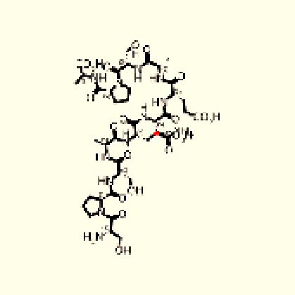 C[C@H](NC(=O)[C@@H]1CCCN1C(=O)[C@H](CO)NC(=O)[C@H](C)NC(=O)[C@H](CCC(=O)O)NC(=O)[C@H](CC(=O)O)NC(=O)[C@H](CCC(N)=O)NC(=O)[C@H](C)NC(=O)[C@H](CO)NC(=O)[C@@H]1CCCN1C(=O)[C@@H](N)CO)C(=O)O